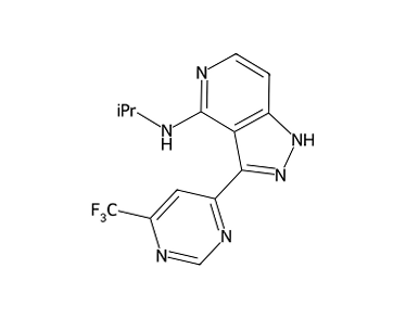 CC(C)Nc1nccc2[nH]nc(-c3cc(C(F)(F)F)ncn3)c12